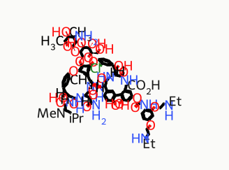 CCNCCOc1ccc(NC(=O)Oc2cc(O)c3c(c2)[C@@H](C(=O)O)NC(=O)[C@H]2NC(=O)[C@H](NC(=O)[C@@H]4NC(=O)[C@H](CC(N)=O)NC(=O)[C@H](NC(=O)[C@@H](CC(C)C)NC)[C@H](O)c5ccc(c(C)c5)Oc5cc4cc(c5O[C@@H]4O[C@H](CO)[C@@H](O)[C@H](O)[C@H]4O[C@H]4C[C@](C)(N)[C@H](O)[C@H](C)O4)Oc4ccc(cc4Cl)[C@H]2O)c2ccc(O)c-3c2)c(OCCNCC)c1